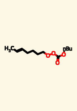 CC=CCCCCOOC(=O)OCCCC